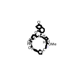 CO[C@H]1/C=C\CN2CCC3(C2)CN(C3)C(=O)NS(=O)(=O)c2ccc3c(c2)N(C[C@@H]2CC[C@H]21)C[C@@]1(CCCc2cc(Cl)ccc21)CO3